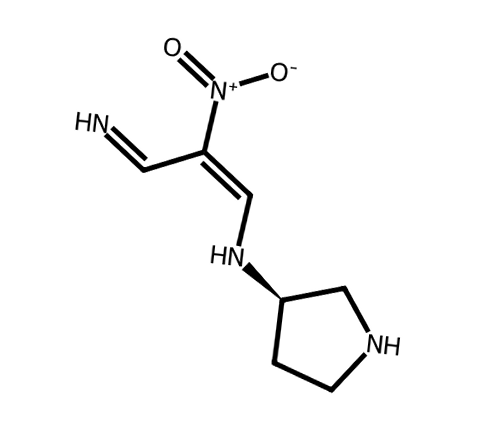 N=C/C(=C\N[C@@H]1CCNC1)[N+](=O)[O-]